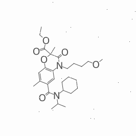 CCOC(=O)C1(C)Oc2cc(C)c(C(=O)N(C(C)C)C3CCCCC3)cc2N(CCCCOC)C1=O